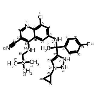 BC(Nc1cc(Cl)c2ncc(C#N)c(NCS(C)(C)C)c2c1)(C1=CN(C2CC2)NN1)c1ccc(F)cc1